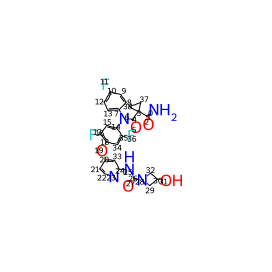 NC(=O)C1(C(=O)N(c2ccc(F)cc2)c2cc(F)c(Oc3ccnc(NC(=O)N4CC(O)C4)c3)cc2F)CC1